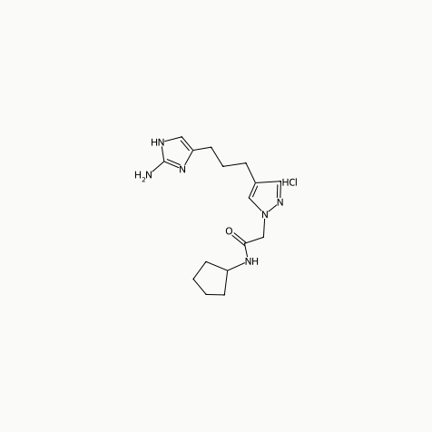 Cl.Nc1nc(CCCc2cnn(CC(=O)NC3CCCC3)c2)c[nH]1